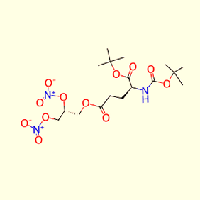 CC(C)(C)OC(=O)N[C@@H](CCC(=O)OC[C@H](CO[N+](=O)[O-])O[N+](=O)[O-])C(=O)OC(C)(C)C